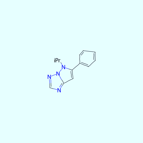 CC(C)n1c(-c2ccccc2)cc2ncnn21